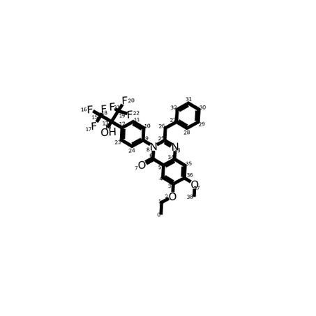 CCOc1cc2c(=O)n(-c3ccc(C(O)(C(F)(F)F)C(F)(F)F)cc3)c(Cc3ccccc3)nc2cc1OC